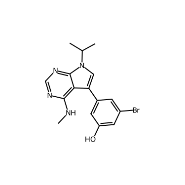 CNc1ncnc2c1c(-c1cc(O)cc(Br)c1)cn2C(C)C